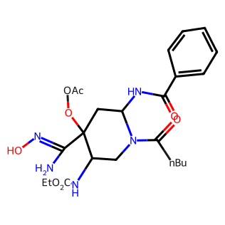 CCCCC(=O)N1CC(NC(=O)OCC)C(OOC(C)=O)(C(N)=NO)CC1NC(=O)c1ccccc1